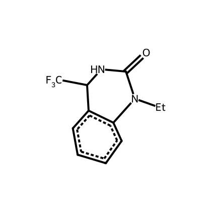 CCN1C(=O)NC(C(F)(F)F)c2ccccc21